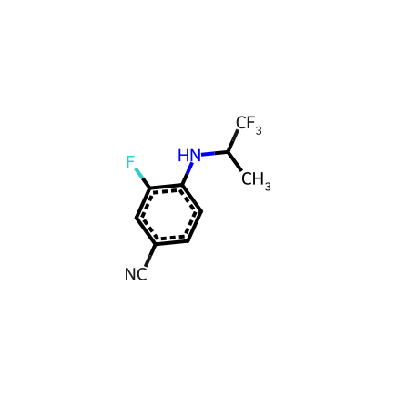 CC(Nc1ccc(C#N)cc1F)C(F)(F)F